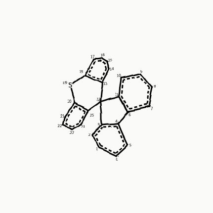 [c]1ccc2c(c1)-c1ccccc1C21c2ccccc2Sc2ccccc21